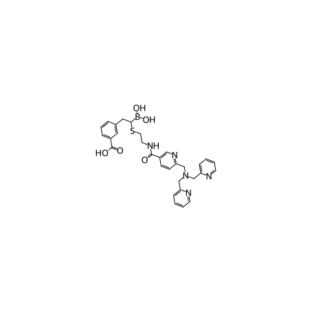 O=C(O)c1cccc(CC(SCCNC(=O)c2ccc(CN(Cc3ccccn3)Cc3ccccn3)nc2)B(O)O)c1